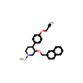 C#CCOc1ccc(C2CCN(C(=O)O)CC2OCc2ccc3ccccc3c2)cc1